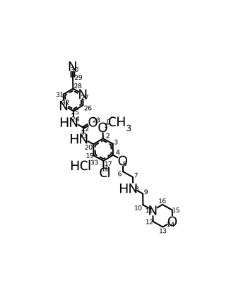 COc1cc(OCCNCCN2CCOCC2)c(Cl)cc1NC(=O)Nc1cnc(C#N)cn1.Cl